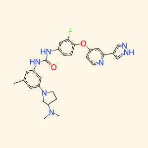 Cc1cc(NC(=O)Nc2ccc(Oc3ccnc(-c4cn[nH]c4)c3)c(F)c2)cc(N2CCC(N(C)C)C2)c1